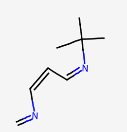 C=N/C=C\C=N/C(C)(C)C